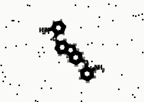 Nc1ccccc1Oc1ccc2c(c1)Cc1cc(Oc3ccccc3N)ccc1-2